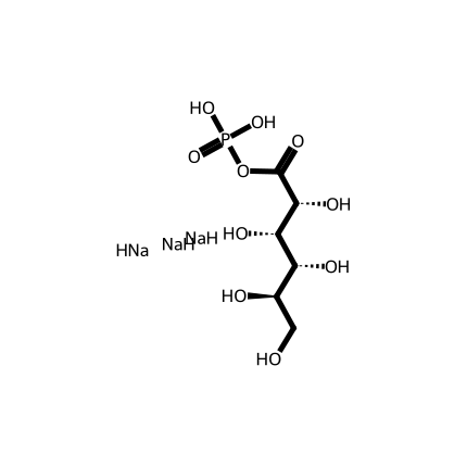 O=C(OP(=O)(O)O)[C@H](O)[C@@H](O)[C@H](O)[C@H](O)CO.[NaH].[NaH].[NaH]